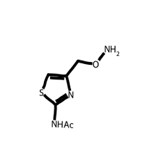 CC(=O)Nc1nc(CON)cs1